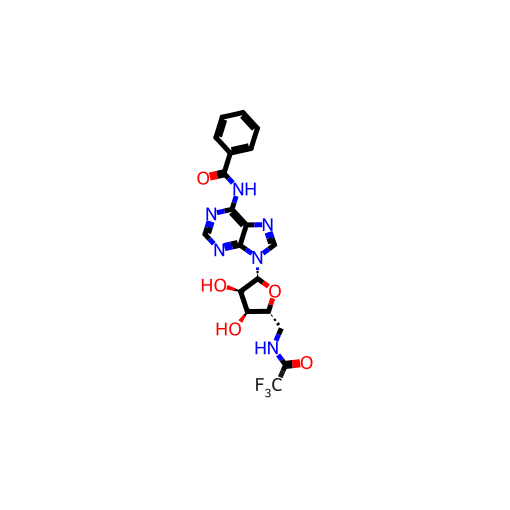 O=C(Nc1ncnc2c1ncn2[C@@H]1O[C@H](CNC(=O)C(F)(F)F)[C@@H](O)[C@H]1O)c1ccccc1